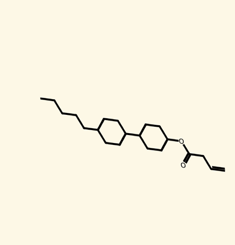 C=CCC(=O)OC1CCC(C2CCC(CCCCC)CC2)CC1